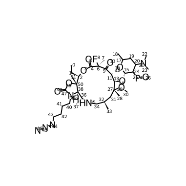 CC[C@H]1OC(=O)[C@@](C)(F)C(=O)[C@H](C)[C@@H](O[C@@H]2OC(C)CC(N(C)C)C2P=O)[C@](C)(OC)C[C@@H](C)CN[C@H](C)[C@H]2N(CCCCN=[N+]=[N-])C(=O)O[C@]12C